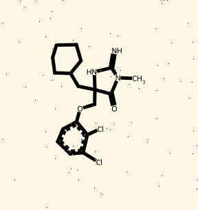 CN1C(=N)NC(COc2cccc(Cl)c2Cl)(CC2CCCCC2)C1=O